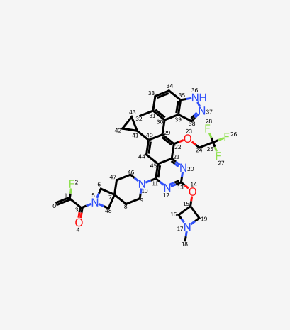 C=C(F)C(=O)N1CC2(CCN(c3nc(OC4CN(C)C4)nc4c(OCC(F)(F)F)c(-c5c(C)ccc6[nH]ncc56)c(C5CC5)cc34)CC2)C1